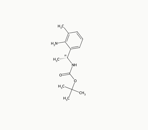 Cc1cccc([C@@H](C)NC(=O)OC(C)(C)C)c1N